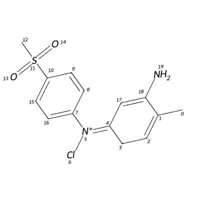 CC1=CCC(=[N+](Cl)c2ccc(S(C)(=O)=O)cc2)C=C1N